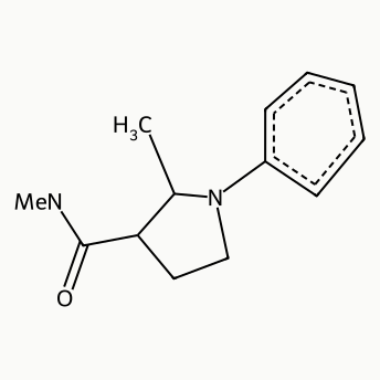 CNC(=O)C1CCN(c2ccccc2)C1C